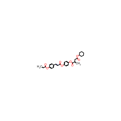 C=CC(=O)Oc1ccc(/C=C/C(=O)Oc2ccc(OC(=O)C(=C)CC(=O)OC3CCCCC3)cc2)cc1